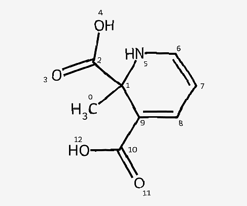 CC1(C(=O)O)NC=CC=C1C(=O)O